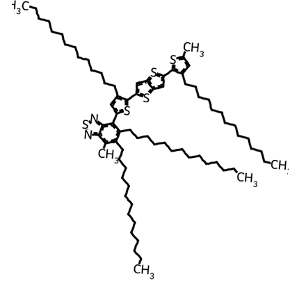 CCCCCCCCCCCCCCc1cc(C)sc1-c1cc2sc(-c3sc(-c4c(CCCCCCCCCCCCCC)c(CCCCCCCCCCCCCC)c(C)c5nsnc45)cc3CCCCCCCCCCCCCC)cc2s1